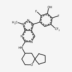 Cn1nc(-c2cc(C(F)(F)F)c(F)c(O)c2F)c2cnc(NC3CCOC4(CCCC4)C3)nc21